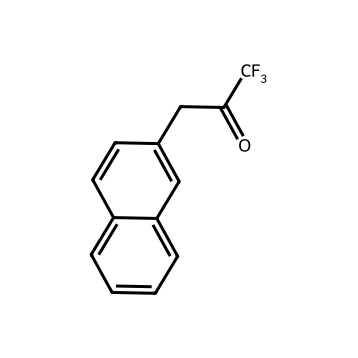 O=C(Cc1ccc2ccccc2c1)C(F)(F)F